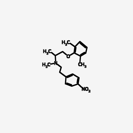 Cc1cccc(C)c1OCC(C)N(C)CCc1ccc([N+](=O)[O-])cc1